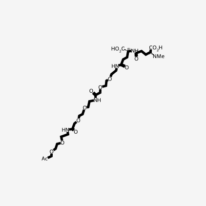 CN[C@H](CCC(=O)N[C@H](CCC(=O)NCCOCCOCC(=O)NCCOCCOCC(=O)NCCOCCOCC(C)=O)C(=O)O)C(=O)O